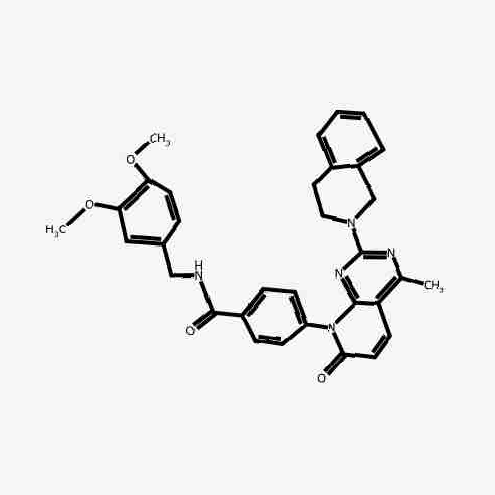 COc1ccc(CNC(=O)c2ccc(-n3c(=O)ccc4c(C)nc(N5CCc6ccccc6C5)nc43)cc2)cc1OC